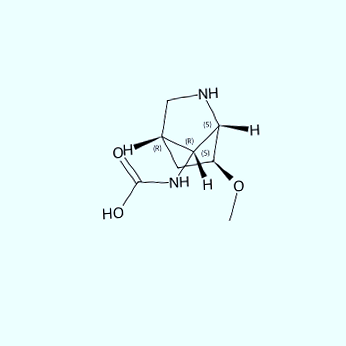 CO[C@H]1C[C@@H]2CN[C@H]1[C@@H]2NC(=O)O